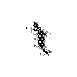 CNCCn1c(-c2ccc(Cl)cc2)nnc1[C@H](O)[C@@]12CC[C@]3(C)[C@H](CC[C@@H]4[C@@]5(C)CC[C@H](OC(=O)CC(C)(C)C(=O)O)C(C)(C)[C@@H]5CC[C@]43C)C1=C(C(C)C)C(=O)C2